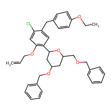 C=CCOc1cc(Cl)c(Cc2ccc(OCC)cc2)cc1C1CC(OCc2ccccc2)CC(COCc2ccccc2)O1